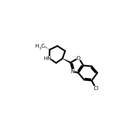 C[C@@H]1CC[C@@H](c2nc3cc(Cl)ccc3o2)CN1